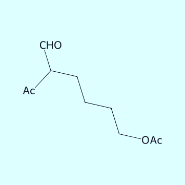 CC(=O)OCCCCC(C=O)C(C)=O